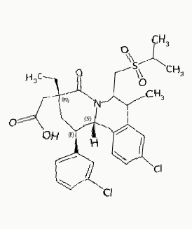 CC[C@]1(CC(=O)O)C[C@H](c2cccc(Cl)c2)[C@H]2c3ccc(Cl)cc3C(C)C(CS(=O)(=O)C(C)C)N2C1=O